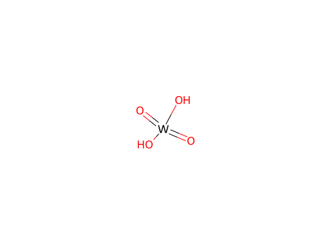 [O]=[W](=[O])([OH])[OH]